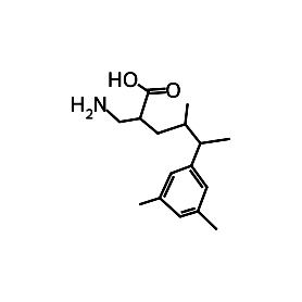 Cc1cc(C)cc(C(C)C(C)CC(CN)C(=O)O)c1